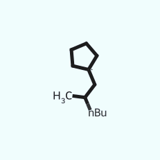 CCCCC(C)C[C]1CCCC1